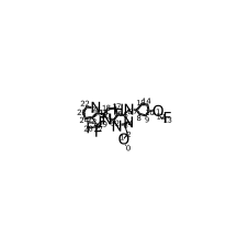 COCc1nc(Nc2ccc(OCF)cc2)c2ccc(-c3ncccc3C(F)(F)F)nc2n1